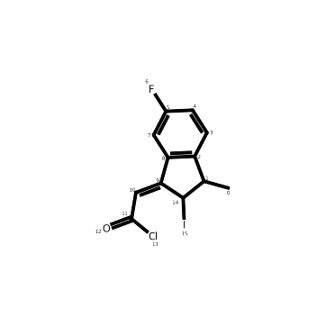 CC1c2ccc(F)cc2C(=CC(=O)Cl)C1I